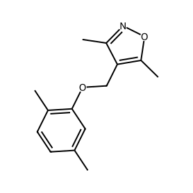 Cc1ccc(C)c(OCc2c(C)noc2C)c1